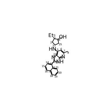 CC[C@@H]1C[C@@H](Nc2cc(C)nc3[nH]c(-c4cccc5ccccc45)nc23)C[C@@H]1O